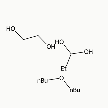 CCC(O)O.CCCCOCCCC.OCCO